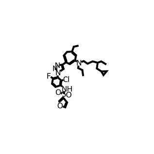 CCCN(CCCC(CC)CC1CC1)C1=CC(c2cn(-c3c(F)ccc(NS(=O)(=O)c4ccoc4)c3Cl)nn2)=CCC(CC)=C1